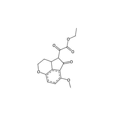 CCOC(=O)C(=O)C1C(=O)c2c(OC)ccc3c2C1CCO3